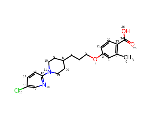 Cc1cc(OCCCC2CCN(c3ccc(Cl)cn3)CC2)ccc1C(=O)O